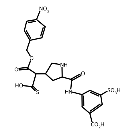 O=C(O)c1cc(NC(=O)C2CC(C(C(=O)OCc3ccc([N+](=O)[O-])cc3)C(O)=S)CN2)cc(S(=O)(=O)O)c1